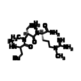 CCC(C)CC(NC(C)C)C(=O)N(C)[C@H](CC(C)CC)C(=O)N(C)[C@@H](CCCN(C)C(=N)N)C(N)=O